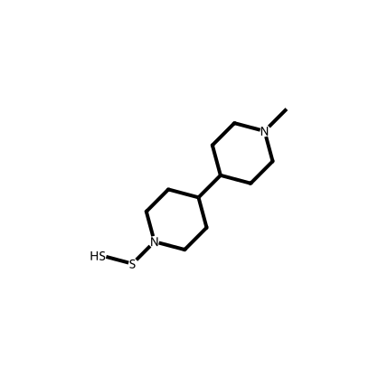 CN1CCC(C2CCN(SS)CC2)CC1